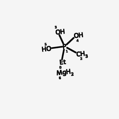 CCP(C)(O)(O)O.[MgH2]